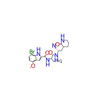 COc1ccc(Br)c2[nH]c(C(=O)NC(CC3CC3)C(=O)N[C@H](C#N)CC3CCCNC3=O)cc12